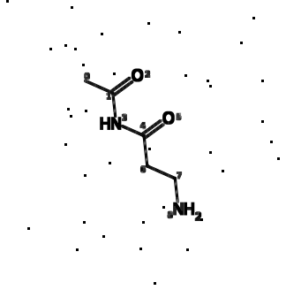 CC(=O)NC(=O)CCN